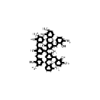 Cc1cccc(Cc2cc(Cc3cccc(C)c3O)c(C)c(C(c3cc(Cc4cccc(C)c4O)c(O)c(Cc4cccc(C)c4O)c3)c3cc(Cc4cccc(C)c4O)c(O)c(Cc4cccc(C)c4O)c3C)c2)c1O